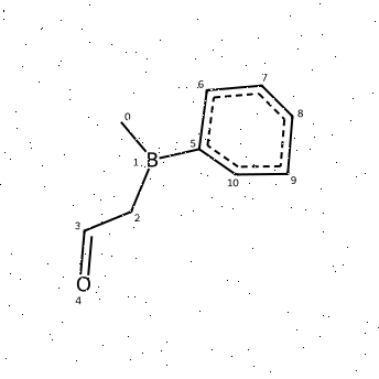 CB(CC=O)c1ccccc1